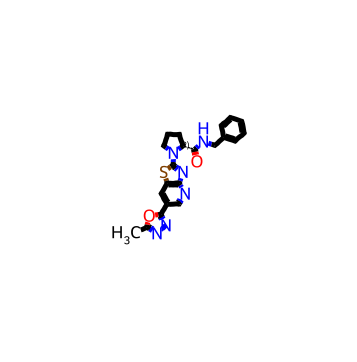 Cc1nnc(-c2cnc3nc(N4CCC[C@@H]4C(=O)NCc4ccccc4)sc3c2)o1